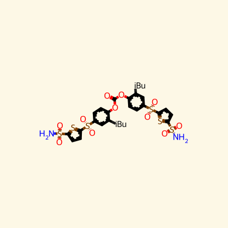 CCC(C)c1cc(S(=O)(=O)c2ccc(S(N)(=O)=O)s2)ccc1OC(=O)Oc1ccc(S(=O)(=O)c2ccc(S(N)(=O)=O)s2)cc1C(C)CC